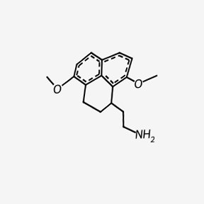 COc1ccc2ccc(OC)c3c2c1CCC3CCN